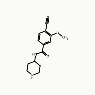 COc1cc(C(=O)NC2CCNCC2)ccc1C#N